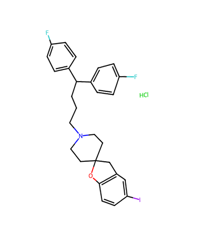 Cl.Fc1ccc(C(CCCN2CCC3(CC2)Cc2cc(I)ccc2O3)c2ccc(F)cc2)cc1